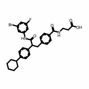 O=C(O)CCNC(=O)c1ccc(CC(C(=O)Nc2cc(F)cc(Br)c2)c2ccc(C3CCCCC3)cc2)cc1